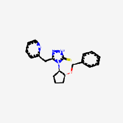 S=c1[nH]nc(Cc2ccccn2)n1[C@@H]1CCC[C@H]1OCc1ccccc1